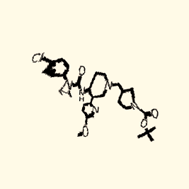 COc1ccc(C2CN(CC3CCN(C(=O)OC(C)(C)C)CC3)CCC2NC(=O)Nc2ccc(Cl)cc2)nc1